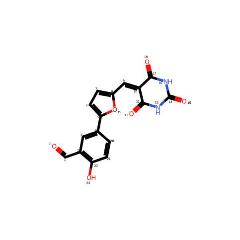 O=Cc1cc(-c2ccc(C=C3C(=O)NC(=O)NC3=O)o2)ccc1O